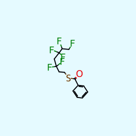 O=C(SCCC(F)(F)CC(F)(F)C(F)CF)c1ccccc1